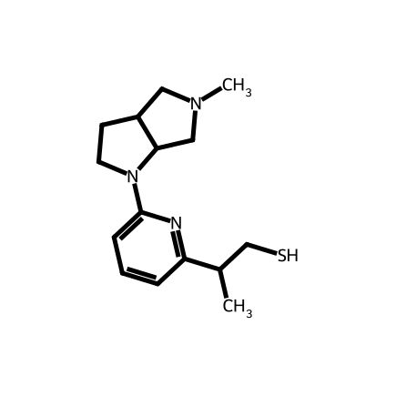 CC(CS)c1cccc(N2CCC3CN(C)CC32)n1